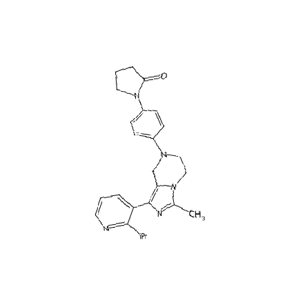 Cc1nc(-c2cccnc2C(C)C)c2n1CCN(c1ccc(N3CCCC3=O)cc1)C2